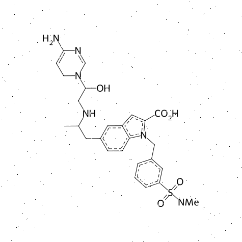 CNS(=O)(=O)c1cccc(Cn2c(C(=O)O)cc3cc(CC(C)NCC(O)N4C=NC(N)=CC4)ccc32)c1